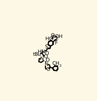 Cc1ccccc1C1CN(C(=O)[C@@H]2CCCN2C(=O)C(NC(=O)c2cc3cc(C(F)(F)P(=O)(O)O)ccc3s2)C(C)(C)C)CCO1